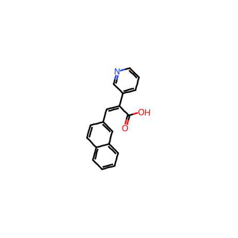 O=C(O)C(=Cc1ccc2ccccc2c1)c1cccnc1